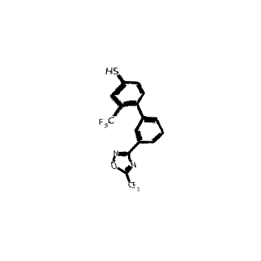 FC(F)(F)c1nc(-c2cccc(-c3ccc(S)cc3C(F)(F)F)c2)no1